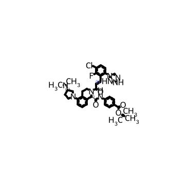 CN(C)[C@H]1CCN(c2cccc3c2CCN(C(=O)/C=C/c2c(N4C=NNN4)ccc(Cl)c2F)[C@@H]3C(=O)Nc2ccc(C(=O)OC(C)(C)C)cc2)C1